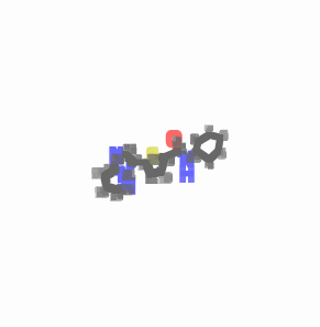 O=C(NC1CCCCC1)c1ccc(-c2cnc3cccnn23)s1